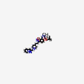 CN(C)Cc1c(OCC2CC2)ccc2c(CCC3CCN(Cc4cc5ccccn5n4)CC3)noc12